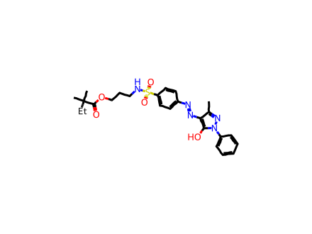 CCC(C)(C)C(=O)OCCCNS(=O)(=O)c1ccc(N=Nc2c(C)nn(-c3ccccc3)c2O)cc1